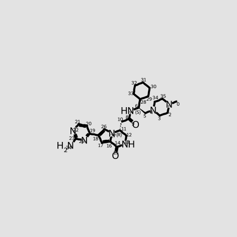 CN1CCN(C[C@@H](NC(=O)C[C@@H]2CNC(=O)c3cc(-c4ccnc(N)n4)cn32)C2CCCCC2)CC1